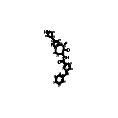 CN1C(=O)C(NC(=O)c2ncn(Cc3ccccc3)n2)CCn2nc(C3CNC3)cc21